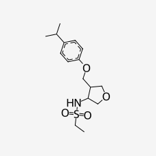 CCS(=O)(=O)NC1COCC1COc1ccc(C(C)C)cc1